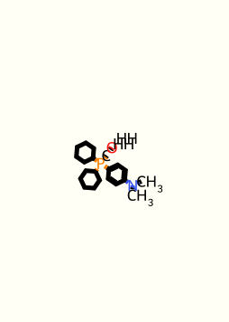 CN(C)c1ccc(P(=C=O)(C2CCCCC2)C2CCCCC2)cc1.[HH].[HH]